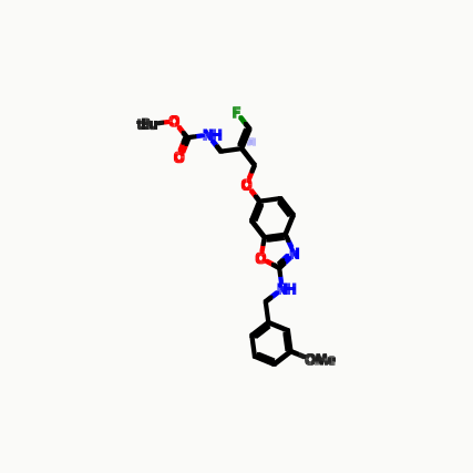 COc1cccc(CNc2nc3ccc(OC/C(=C/F)CNC(=O)OC(C)(C)C)cc3o2)c1